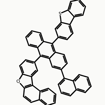 c1ccc2c(-c3ccc4c(-c5ccc6c(c5)sc5ccccc56)c5ccccc5c(-c5ccc6oc7ccc8ccccc8c7c6c5)c4c3)cccc2c1